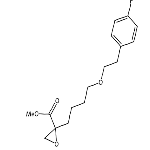 COC(=O)C1(CCCCOCCc2ccc(F)cc2)CO1